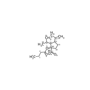 CCCC(=O)O[C@]1(C(=O)O)CCC(C(C)C)C1C(C)C